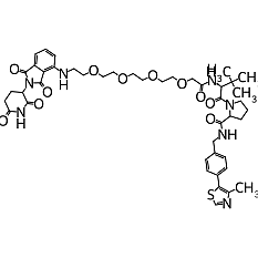 Cc1ncsc1-c1ccc(CNC(=O)C2CCCN2C(=O)[C@@H](NC(=O)COCCOCCOCCOCCNc2cccc3c2C(=O)N(C2CCC(=O)NC2=O)C3=O)C(C)(C)C)cc1